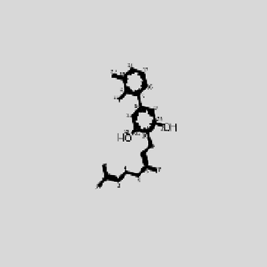 CC(C)=CCC/C(C)=C/Cc1c(O)cc(-c2cccc(C)c2C)cc1O